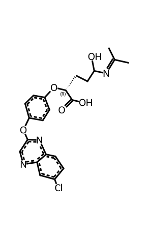 CC(C)=NC(O)CC[C@@H](Oc1ccc(Oc2cnc3cc(Cl)ccc3n2)cc1)C(=O)O